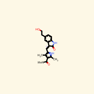 CNC(=O)c1c(C)[nH]c(/C=C2\C(=O)Nc3ccc(CCO)cc32)c1C